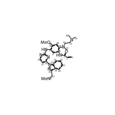 C=CC(=O)Nc1cc(Nc2nccc(-n3nc(CNC)c4ccccc43)n2)c(OC)cc1N(C)CCN(C)C